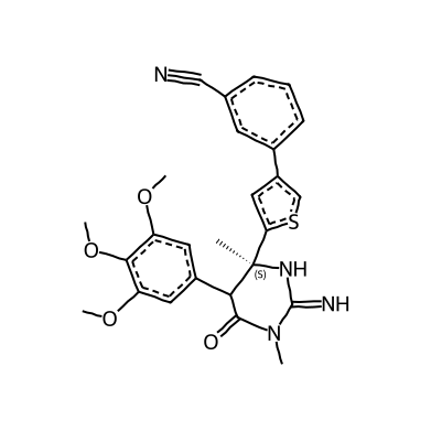 COc1cc(C2C(=O)N(C)C(=N)N[C@]2(C)c2cc(-c3cccc(C#N)c3)cs2)cc(OC)c1OC